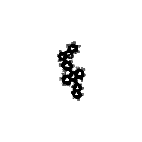 c1ccc2cc(-c3c4ccccc4c(-c4ccc(-c5cccc6c5oc5ccccc56)cc4)c4ccccc34)ccc2c1